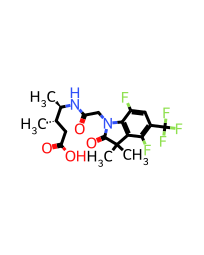 C[C@@H](CC(=O)O)[C@@H](C)NC(=O)CN1C(=O)C(C)(C)c2c(F)c(C(F)(F)F)cc(F)c21